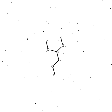 CO[CH]C(OC)OC